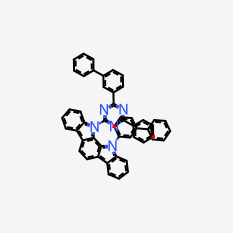 c1ccc(-c2cccc(-c3nc(-c4ccccc4)nc(-n4c5ccccc5c5ccc6c7ccccc7n(-c7cccc(-c8ccccc8)c7)c6c54)n3)c2)cc1